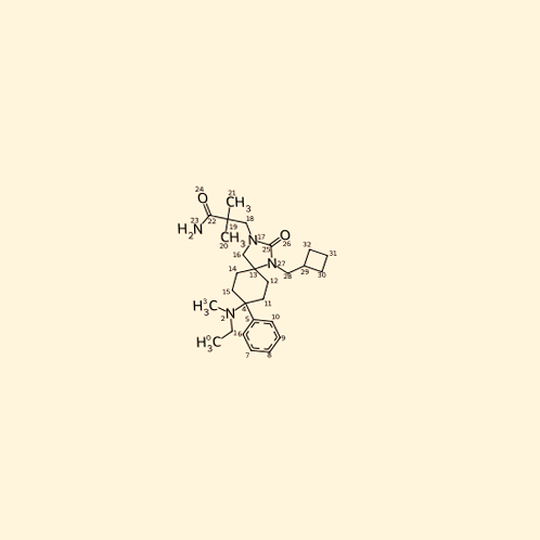 CCN(C)C1(c2ccccc2)CCC2(CC1)CN(CC(C)(C)C(N)=O)C(=O)N2CC1CCC1